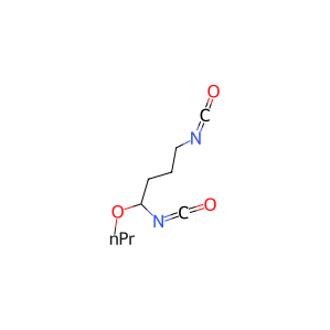 CCCOC(CCCN=C=O)N=C=O